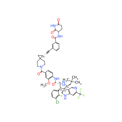 COc1cc(C(=O)N2CCC3(CC2)C[C@@H]3C#Cc2cccc(C(=O)NC3CCC(=O)NC3=O)c2)ccc1NC(=O)[C@@H]1N[C@@H](CC(C)(C)C)[C@@]2(CNc3cc(C(F)(F)F)ncc32)[C@H]1c1cccc(Cl)c1F